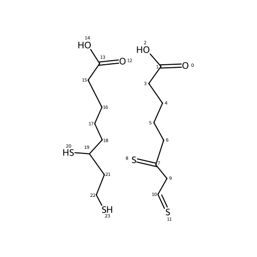 O=C(O)CCCCC(=S)CC=S.O=C(O)CCCCC(S)CCS